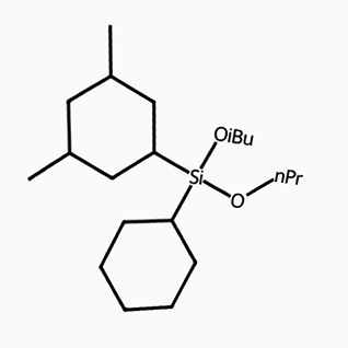 CCCO[Si](OCC(C)C)(C1CCCCC1)C1CC(C)CC(C)C1